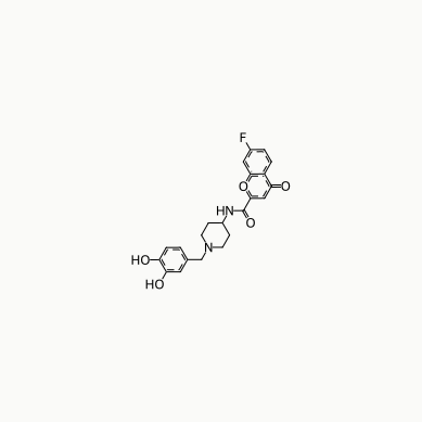 O=C(NC1CCN(Cc2ccc(O)c(O)c2)CC1)c1cc(=O)c2ccc(F)cc2o1